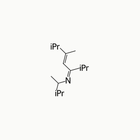 C/C(=C\C(=N/C(C)C(C)C)C(C)C)C(C)C